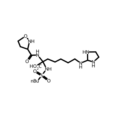 CCCCS(=O)(=O)NC(CCCCCNC1NCCN1)(NC(=O)C1CCON1)C(=O)O